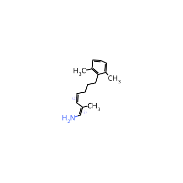 CC(/C=C\CCCc1c(C)cccc1C)=C/N